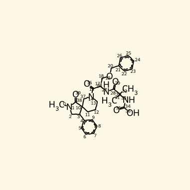 CN1CC(c2ccccc2)C2(CCCN(C(=O)[C@@H](COCc3ccccc3)NC(=O)C(C)(C)NC(=O)O)C2)C1=O